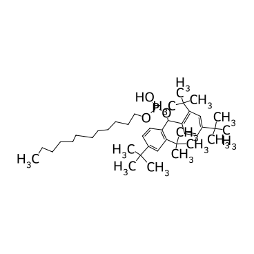 CCCCCCCCCCCCOP(O)OC(c1ccc(C(C)(C)C)cc1C(C)(C)C)c1ccc(C(C)(C)C)cc1C(C)(C)C